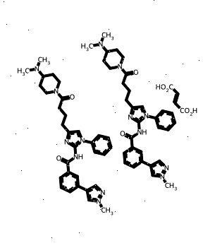 CN(C)C1CCN(C(=O)CCCc2cn(-c3ccccc3)c(NC(=O)c3cccc(-c4cnn(C)c4)c3)n2)CC1.CN(C)C1CCN(C(=O)CCCc2cn(-c3ccccc3)c(NC(=O)c3cccc(-c4cnn(C)c4)c3)n2)CC1.O=C(O)/C=C/C(=O)O